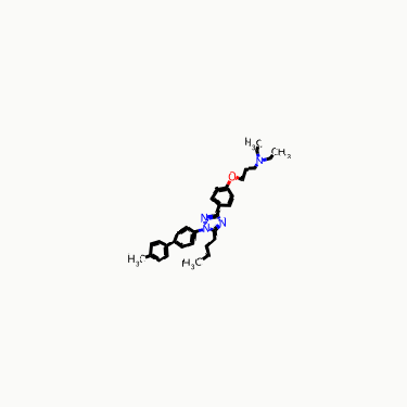 CCCCc1nc(-c2ccc(OCCCN(CC)CC)cc2)nn1-c1ccc(-c2ccc(C)cc2)cc1